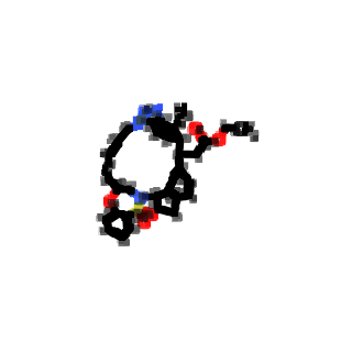 CCOC(=O)CC1c2ccc3c(c2)C(CC3)N2CC(CCC=CCn3nnc4c(C)c1ccc43)Oc1ccccc1S2(=O)=O